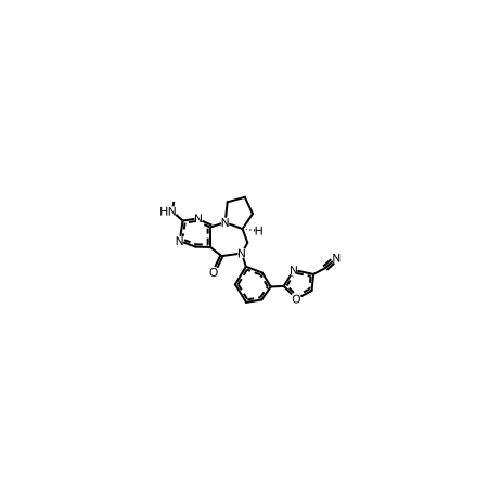 CNc1ncc2c(n1)N1CCC[C@H]1CN(c1cccc(-c3nc(C#N)co3)c1)C2=O